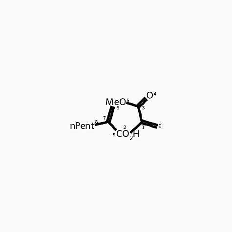 C=C(C)C(=O)OC.C=C(CCCCC)C(=O)O